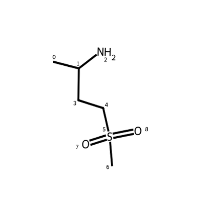 CC(N)CCS(C)(=O)=O